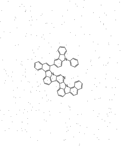 c1ccc(-n2c3ccccc3c3cc(-c4cc5ccccc5c5c6cccc7c8c9c%10cccc%11c%12ccc%13ccccc%13c%12n(c9ncc8n(c45)c76)c%11%10)ccc32)cc1